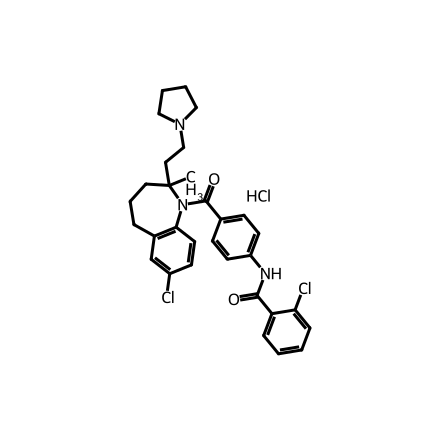 CC1(CCN2CCCC2)CCCc2cc(Cl)ccc2N1C(=O)c1ccc(NC(=O)c2ccccc2Cl)cc1.Cl